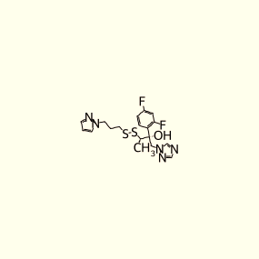 C[C@@H](SSCCCn1cccn1)[C@](O)(Cn1cncn1)c1ccc(F)cc1F